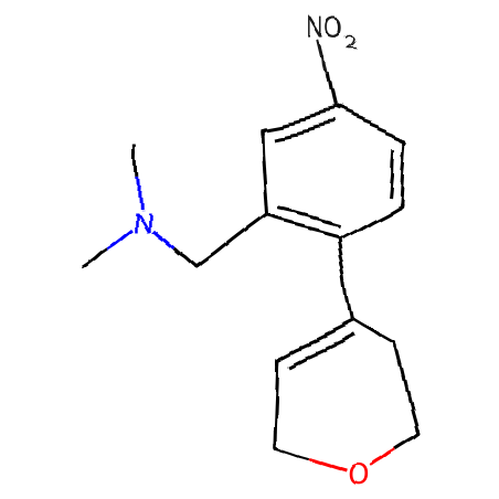 CN(C)Cc1cc([N+](=O)[O-])ccc1C1=CCOCC1